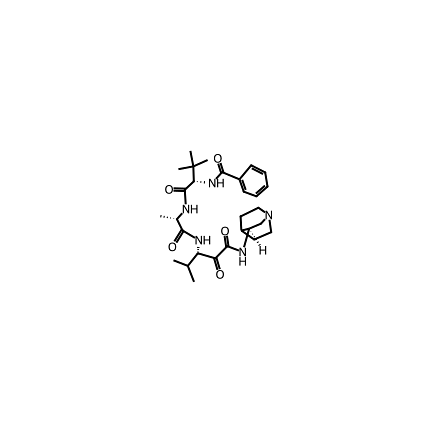 CC(C)[C@H](NC(=O)[C@H](C)NC(=O)[C@@H](NC(=O)c1ccccc1)C(C)(C)C)C(=O)C(=O)N[C@@H]1CN2CCC1CC2